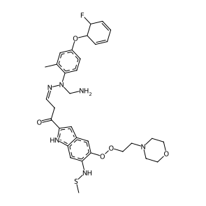 CSNc1cc2[nH]c(C(=O)C/C=N\N(CN)c3ccc(OC4C=CC=CC4F)cc3C)cc2cc1OOCCN1CCOCC1